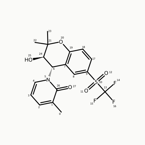 Cc1cccn([C@H]2c3cc(S(=O)(=O)C(F)(F)F)ccc3OC(C)(C)[C@@H]2O)c1=O